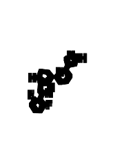 Fc1cccc(F)c1-c1cc2c(nn1)[C@]1(c3cccc(-c4cn[nH]c4)n3)CC[C@H]2CC1